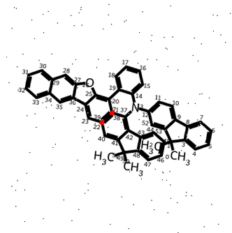 CC1(C)c2ccccc2-c2ccc(N(c3ccccc3-c3cccc4c3oc3cc5ccccc5cc34)c3cccc4c3-c3ccccc3C4(C)C)cc21